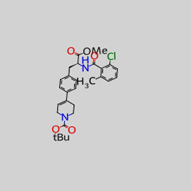 COC(=O)[C@H](Cc1ccc(C2=CCN(C(=O)OC(C)(C)C)CC2)cc1)NC(=O)c1c(C)cccc1Cl